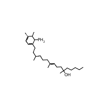 CCCCCC(C)(O)CC/C=C(\C)CCCC(C)CCC1=CC=C(C)C(C)C1P